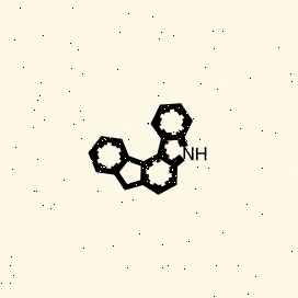 [c]1cccc2[nH]c3ccc4c(c3c12)-c1ccccc1C4